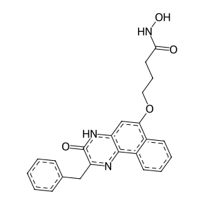 O=C(CCCOc1cc2[nH]c(=O)c(Cc3ccccc3)nc2c2ccccc12)NO